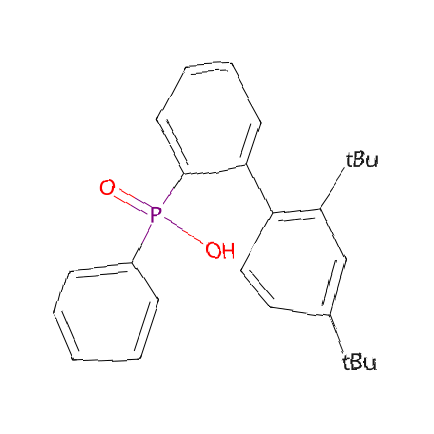 CC(C)(C)c1ccc(-c2ccccc2P(=O)(O)c2ccccc2)c(C(C)(C)C)c1